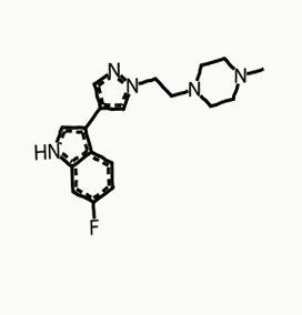 CN1CCN(CCn2cc(-c3c[nH]c4cc(F)ccc34)cn2)CC1